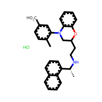 Cc1ccc(C(=O)O)cc1N1CC(CCN[C@H](C)c2cccc3ccccc23)Oc2ccccc21.Cl